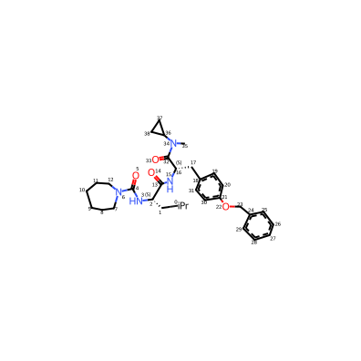 CC(C)C[C@H](NC(=O)N1CCCCCC1)C(=O)N[C@@H](Cc1ccc(OCc2ccccc2)cc1)C(=O)N(C)C1CC1